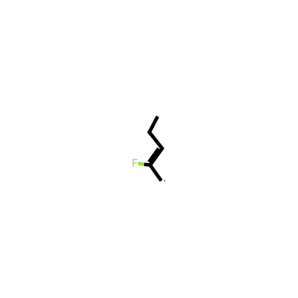 [CH2]C(F)=CCC